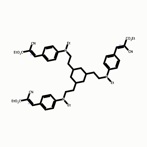 CCOC(=O)/C(C#N)=C/c1ccc(N(CC)CCC2CC(CCN(CC)c3ccc(/C=C(\C#N)C(=O)OCC)cc3)CC(CCN(CC)c3ccc(/C=C(\C#N)C(=O)OCC)cc3)C2)cc1